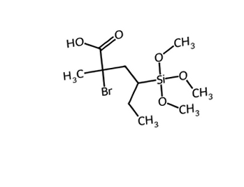 CCC(CC(C)(Br)C(=O)O)[Si](OC)(OC)OC